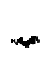 CCC(c1ccc(Oc2ccccc2N)cc1)c1ccc(Oc2ccccc2N)cc1